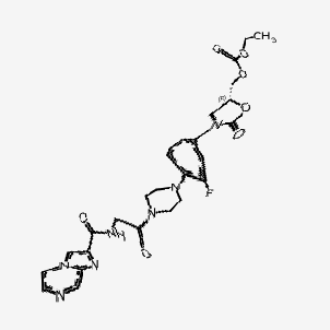 CCOC(=O)OC[C@H]1CN(c2ccc(N3CCN(C(=O)CNC(=O)c4cn5ccncc5n4)CC3)c(F)c2)C(=O)O1